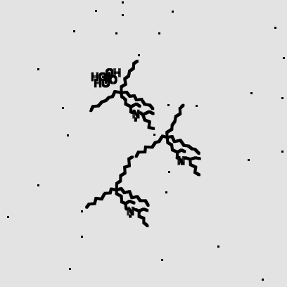 CCCCCCCCC(CCCCCCCC)(CCCCCCCC)CCCC(CC)CN(C)CC(CC)CCCC.CCCCCCCCC(CCCCCCCC)(CCCCCCCC)CCCC(CC)CN(C)CC(CC)CCCC.CCCCCCCCC(CCCCCCCC)(CCCCCCCC)CCCC(CC)CN(C)CC(CC)CCCC.O=P(O)(O)O